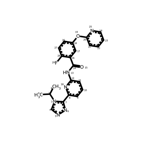 CC(C)n1cnnc1-c1cccc(NC(=O)c2cc(Oc3ccccn3)ccc2F)n1